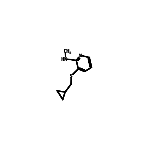 CNc1ncccc1SCC1CC1